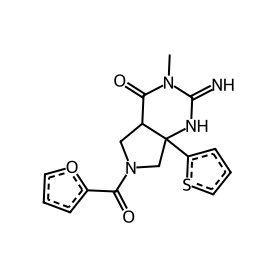 CN1C(=N)NC2(c3cccs3)CN(C(=O)c3ccco3)CC2C1=O